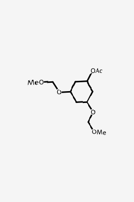 COCOC1CC(OCOC)CC(OC(C)=O)C1